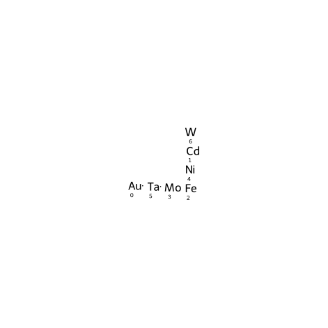 [Au].[Cd].[Fe].[Mo].[Ni].[Ta].[W]